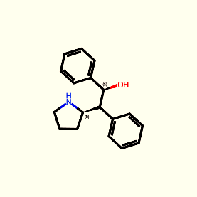 O[C@H](c1ccccc1)C(c1ccccc1)[C@H]1CCCN1